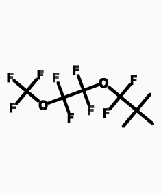 CC(C)(C)C(F)(F)OC(F)(F)C(F)(F)OC(F)(F)F